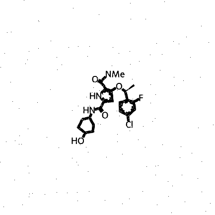 CNC(=O)c1[nH]c(C(=O)NC2CCC(O)CC2)cc1O[C@@H](C)c1ccc(Cl)cc1F